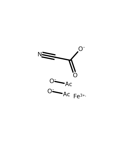 CC(=O)[O-].CC(=O)[O-].N#CC(=O)[O-].[Fe+3]